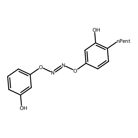 CCCCCc1ccc(ON=NOc2cccc(O)c2)cc1O